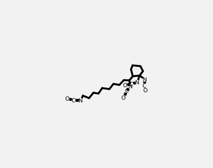 O=C=NCCCCCCCCCC(N=C=O)C1CCCCC1(N=C=O)N=C=O